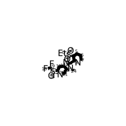 CCS(=O)(=O)c1cccnc1-c1nc2cc([S+]([O-])C(F)F)ncc2n1C